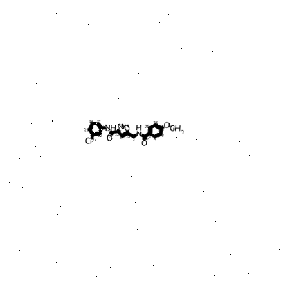 COc1ccc(C(=O)NCc2cc(C(=O)Nc3cccc(Cl)c3)no2)cc1